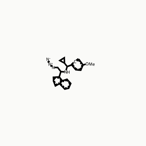 COc1ccc(C(NC(CN=[N+]=[N-])c2cccc3ccccc23)C2CC2)cc1